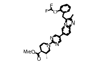 COC(=O)[C@H]1CCN(c2ncc(-c3ccc4nc(C)c(Cc5ccccc5OC(F)F)n4c3)cn2)C[C@@H]1C